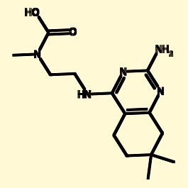 CN(CCNc1nc(N)nc2c1CCC(C)(C)C2)C(=O)O